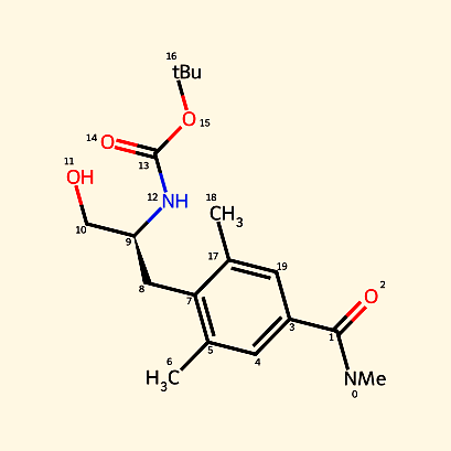 CNC(=O)c1cc(C)c(C[C@@H](CO)NC(=O)OC(C)(C)C)c(C)c1